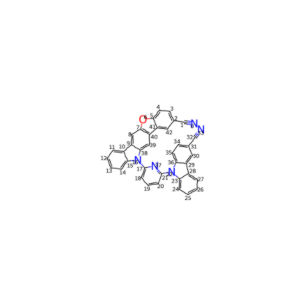 N#Cc1ccc2oc3cc4c5ccccc5n(-c5cccc(-n6c7ccccc7c7cc(C#N)ccc76)n5)c4cc3c2c1